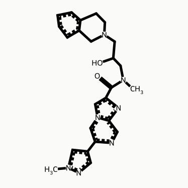 CN(CC(O)CN1CCc2ccccc2C1)C(=O)c1cn2cc(-c3cnn(C)c3)ncc2n1